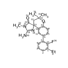 CCc1cccc(-c2ccc3c(c2)C2(CC(C)(C)O3)N=C(N)N(C)C2=O)c1F